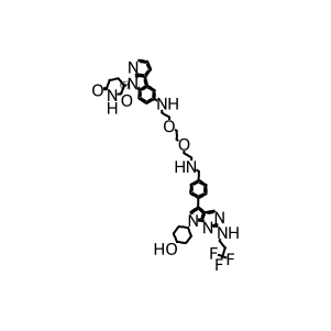 O=C1CC[C@H](n2c3ccc(NCCOCCOCCNCc4ccc(-c5cn([C@H]6CC[C@H](O)CC6)c6nc(NCCC(F)(F)F)ncc56)cc4)cc3c3cccnc32)C(=O)N1